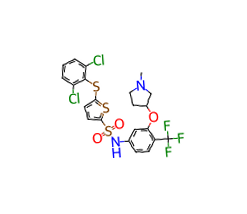 CN1CCC(Oc2cc(NS(=O)(=O)c3ccc(Sc4c(Cl)cccc4Cl)s3)ccc2C(F)(F)F)C1